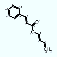 C=CC=COC(=O)C=Cc1ccccc1